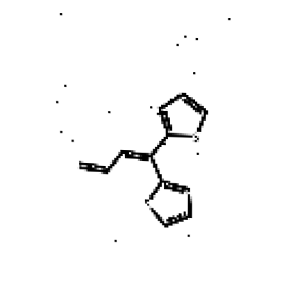 C=CC=C(c1cccs1)c1cccs1